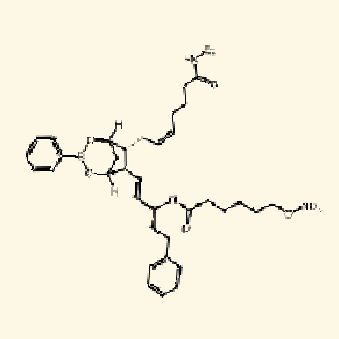 CCNC(=O)CCC/C=C\C[C@@H]1[C@@H](/C=C/[C@H](CCc2ccccc2)OC(=O)CCCCCO[N+](=O)[O-])[C@H]2C[C@@H]1OB(c1ccccc1)O2